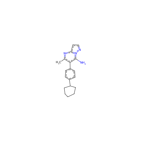 Cc1nc2ccnn2c(N)c1-c1ccc(C2CC[CH]CC2)cc1